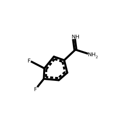 N=C(N)c1ccc(F)c(F)c1